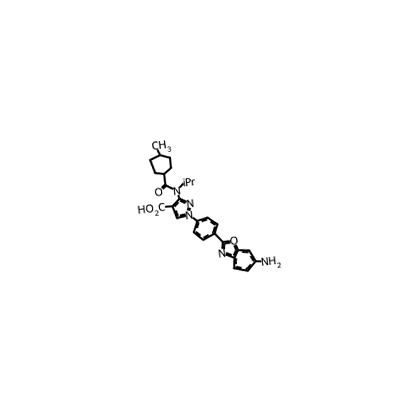 CC1CCC(C(=O)N(c2nn(-c3ccc(-c4nc5ccc(N)cc5o4)cc3)cc2C(=O)O)C(C)C)CC1